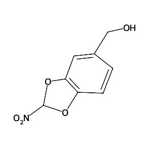 O=[N+]([O-])C1Oc2ccc(CO)cc2O1